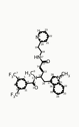 CN(C(=O)c1cc(C(F)(F)F)cc(C(F)(F)F)c1)C(C=CC(=O)NCCc1ccccn1)Cc1cn(C)c2ccccc12